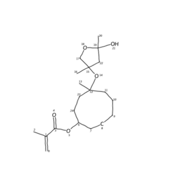 C=C(C)C(=O)OC1CCCCCC(C)(OC2(C)COC(C)(O)C2)CC1